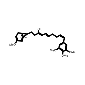 COC1=CCC2(OC)C(=C1)C2CC/C(C)=C/C=C/CC/C=C\c1cc(OC)c(OC)c(OC)c1